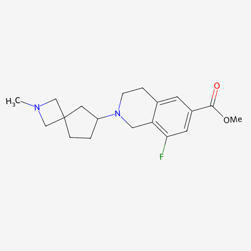 COC(=O)c1cc(F)c2c(c1)CCN(C1CCC3(C1)CN(C)C3)C2